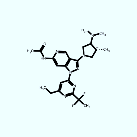 CCc1cc(-n2nc(N3CC(N(C)C)[C@H](C)C3)c3cnc(NC(C)=O)cc32)nc(C(C)(F)F)n1